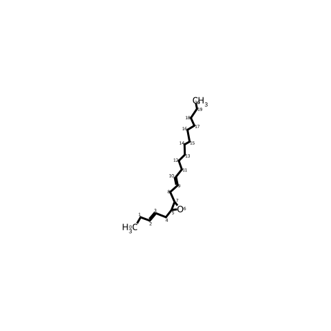 CCC=CCC1OC1CC=CCCCCCCCCCC